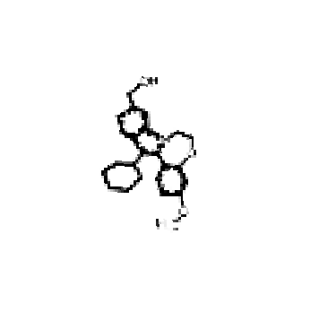 COc1ccc2c(c1)OCCn1c-2c(C2CCCCC2)c2ccc(CO)cc21